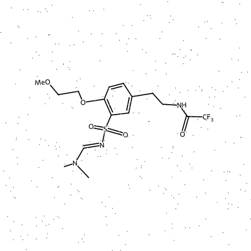 COCCOc1ccc(CCNC(=O)C(F)(F)F)cc1S(=O)(=O)/N=C/N(C)C